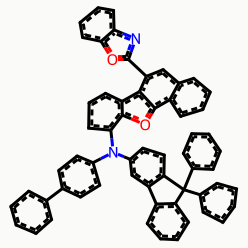 c1ccc(-c2ccc(N(c3ccc4c(c3)-c3ccccc3C4(c3ccccc3)c3ccccc3)c3cccc4c3oc3c5ccccc5cc(-c5nc6ccccc6o5)c43)cc2)cc1